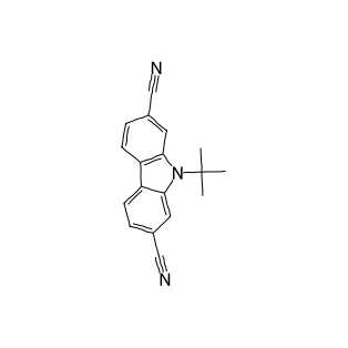 CC(C)(C)n1c2cc(C#N)ccc2c2ccc(C#N)cc21